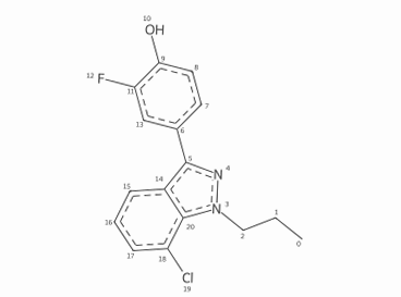 CCCn1nc(-c2ccc(O)c(F)c2)c2cccc(Cl)c21